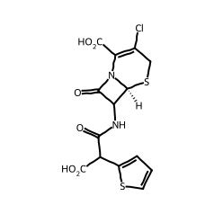 O=C(O)C1=C(Cl)CS[C@H]2C(NC(=O)C(C(=O)O)c3cccs3)C(=O)N12